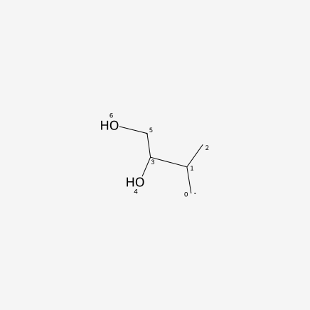 [CH2]C(C)C(O)CO